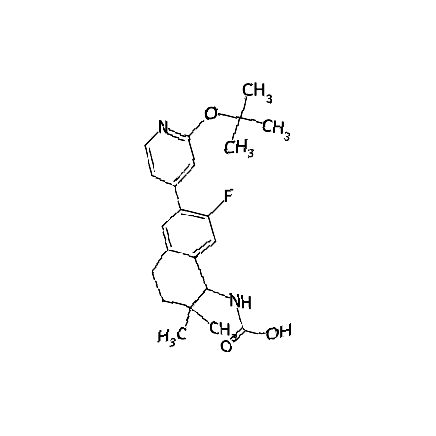 CC(C)(C)Oc1cc(-c2cc3c(cc2F)C(NC(=O)O)C(C)(C)CC3)ccn1